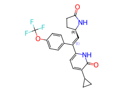 O=C1CC[C@H](/C=C(\c2ccc(OC(F)(F)F)cc2)c2ccc(C3CC3)c(=O)[nH]2)N1